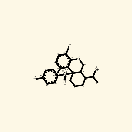 CC(O)C1CCCC2(S(=O)(=O)c3ccc(Cl)cc3)c3c(F)ccc(F)c3OCC12